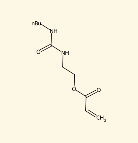 C=CC(=O)OCCNC(=O)NCCCC